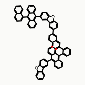 c1ccc(-c2c3ccccc3c(-c3ccc4oc5ccccc5c4c3)c3ccccc23)c(-c2ccc3ccc(-c4ccc5oc6ccc(-c7c8ccccc8c(-c8cccc9ccccc89)c8ccccc78)cc6c5c4)cc3c2)c1